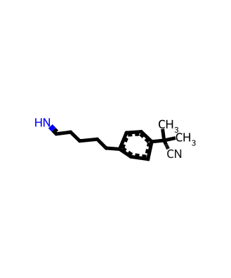 CC(C)(C#N)c1ccc(CCCCC=N)cc1